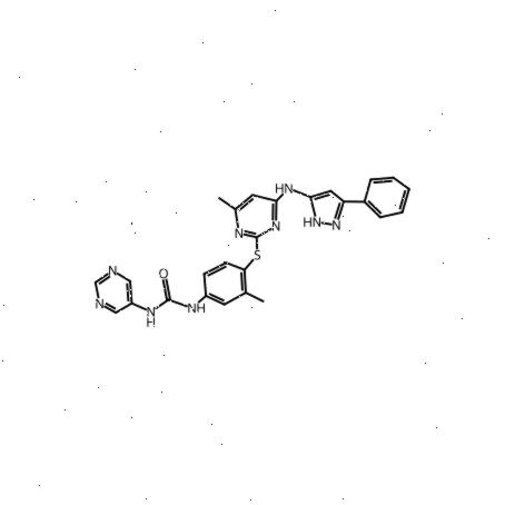 Cc1cc(Nc2cc(-c3ccccc3)n[nH]2)nc(Sc2ccc(NC(=O)Nc3cncnc3)cc2C)n1